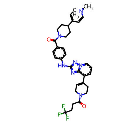 C=N/C=C\C(=C/C)C1CCN(C(=O)c2ccc(Nc3nc4c(C5=CCN(C(=O)CCC(F)(F)F)CC5)cccn4n3)cc2)CC1